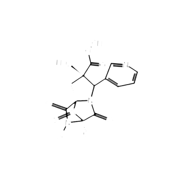 COC(=O)[C@@]1(C)C[C@]23C(=O)N(C)[C@](C)(C(=O)N2C1c1cccnc1)S3=S